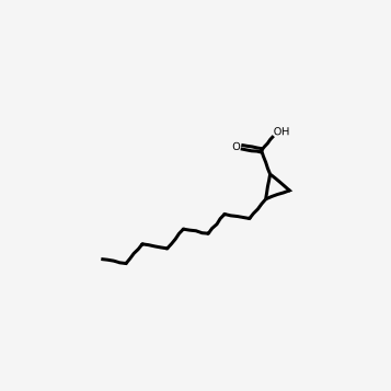 CCCCCCCCC1CC1C(=O)O